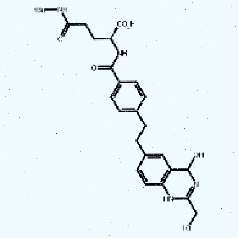 CC(C)(C)NC(=O)CC[C@H](NC(=O)c1ccc(CCc2ccc3c(c2)C(O)N=C(CO)N3)cc1)C(=O)O